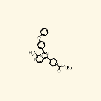 CC(C)(C)OC(=O)N1CC=C(c2nc(-c3ccc(Oc4ccccc4)cc3)n3c(N)nccc23)CC1